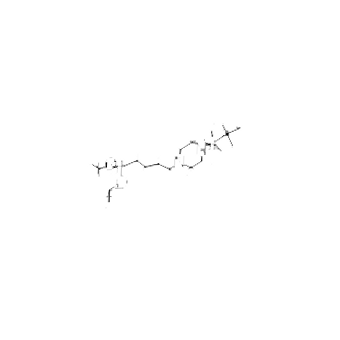 CCO[SiH](CCCCN1CCN([Si](C)(C)C(C)(C)C)CC1)OCC